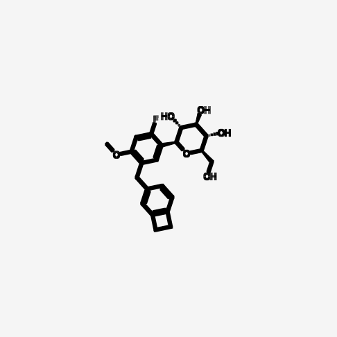 COc1cc(F)c([C@@H]2O[C@H](CO)[C@@H](O)[C@H](O)[C@H]2O)cc1Cc1ccc2c(c1)CC2